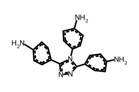 Nc1ccc(-c2nnc(-c3ccc(N)cc3)n2-c2ccc(N)cc2)cc1